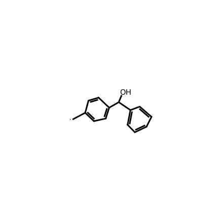 [CH2]c1ccc(C(O)c2ccccc2)cc1